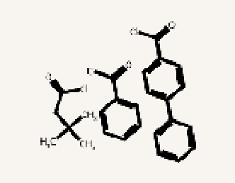 CC(C)(C)CC(=O)Cl.O=C(Cl)c1ccc(-c2ccccc2)cc1.O=C(Cl)c1ccccc1